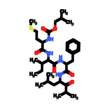 CCC(C)C(NC(=O)C(CCSC)NC(=O)OCC(C)C)C(=O)NC(Cc1ccccc1)C(=O)NC(CC(C)C)C(=O)C(C)C